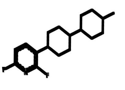 CC1CCC(C2CCC(c3ccc(F)nc3F)CC2)CC1